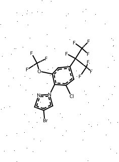 FC(F)(F)Oc1cc(C(F)(C(F)(F)F)C(F)(F)F)cc(Cl)c1-n1cc(Br)cn1